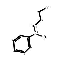 CCCN(NCCCl)c1ccccc1